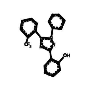 Oc1ccccc1-c1nc(-c2ccccc2C(F)(F)F)n(-c2ccccc2)n1